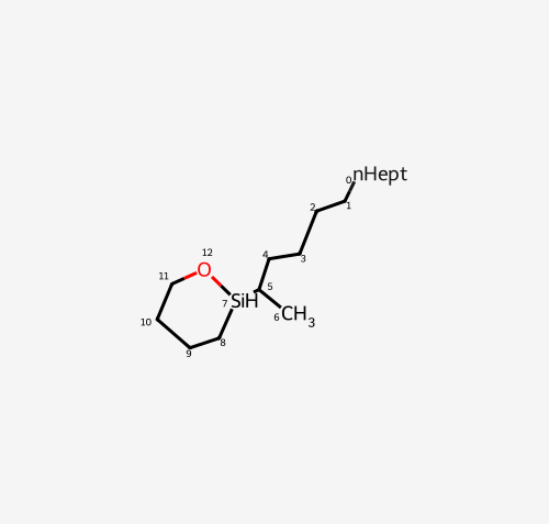 CCCCCCCCCCCC(C)[SiH]1CCCCO1